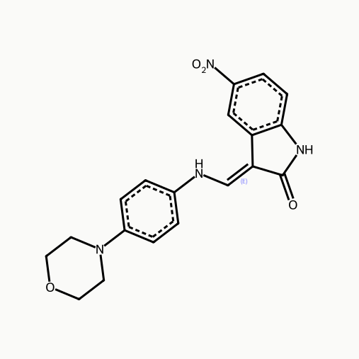 O=C1Nc2ccc([N+](=O)[O-])cc2/C1=C\Nc1ccc(N2CCOCC2)cc1